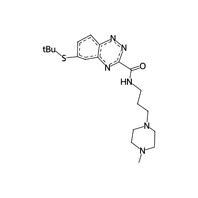 CN1CCN(CCCNC(=O)c2nnc3ccc(SC(C)(C)C)cc3n2)CC1